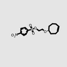 O=[N+]([O-])c1ccc(S(=O)(=O)OCCO[C@H]2CC/C=C\CCC2)cc1